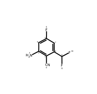 N#Cc1c(N)cc(F)cc1C(F)F